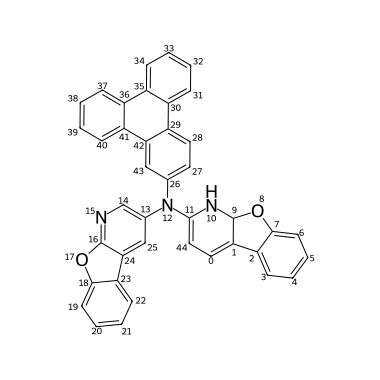 C1=C2c3ccccc3OC2NC(N(c2cnc3oc4ccccc4c3c2)c2ccc3c4ccccc4c4ccccc4c3c2)=C1